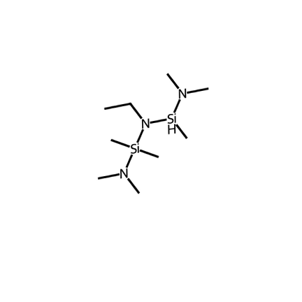 CCN([SiH](C)N(C)C)[Si](C)(C)N(C)C